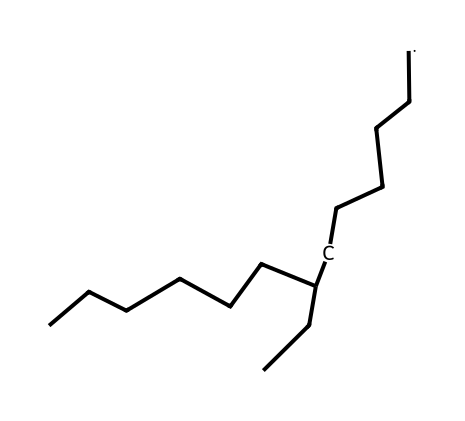 [CH2]CCCCCC(CC)CCCCCC